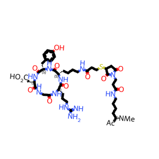 CN[C@@H](CCCCNC(=O)CCN1C(=O)CC(SCCC(=O)NCCCC[C@@H]2NC(=O)[C@H](CCCNC(=N)N)NC(=O)CNC(=O)[C@H](CC(=O)O)NC(=O)[C@H](Cc3ccc(O)cc3)NC2=O)C1=O)C(C)=O